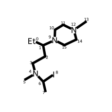 CCC(CCN(C)C(C)I)N1CCN(C)CC1